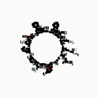 CCCC[C@H]1C(=O)N(C)[C@@H](CCCC)C(=O)N[C@@H](CCCNC(=N)N)C(=O)N[C@H](C(=O)NCC(N)=O)CSCC(=O)N[C@@H](Cc2ccc(Cl)cc2)C(=O)N(C)[C@@H](C)C(=O)N[C@@H](CC(N)=O)C(=O)N2CCC[C@H]2C(=O)N[C@@H](Cc2ccc[nH]2)C(=O)N[C@@H](CC(C)C)C(=O)N2C[C@H](O)C[C@H]2C(=O)N[C@@H](Cc2c[nH]c3ccccc23)C(=O)N[C@@H](CO)C(=O)N[C@@H](Cc2csc3ccccc23)C(=O)N1C